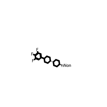 CCCCCCCCC[C@H]1CC[C@H](C2CCC(c3cc(F)c(F)c(F)c3)CC2)CC1